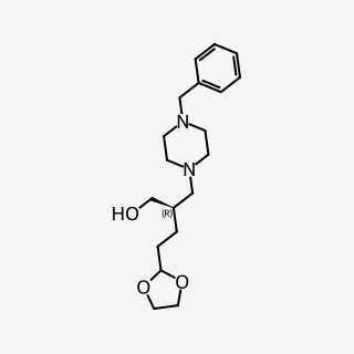 OC[C@H](CCC1OCCO1)CN1CCN(Cc2ccccc2)CC1